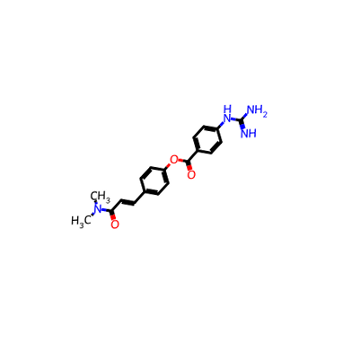 CN(C)C(=O)C=Cc1ccc(OC(=O)c2ccc(NC(=N)N)cc2)cc1